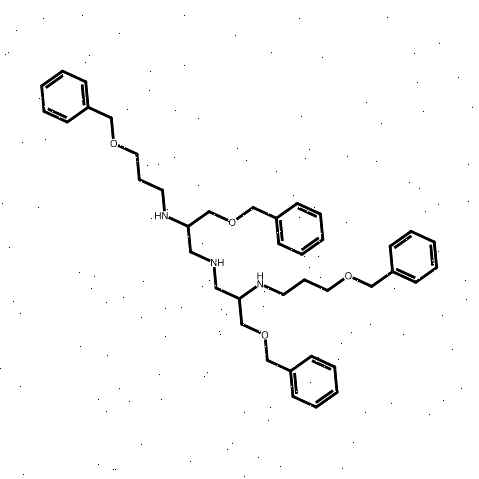 c1ccc(COCCCNC(CNCC(COCc2ccccc2)NCCCOCc2ccccc2)COCc2ccccc2)cc1